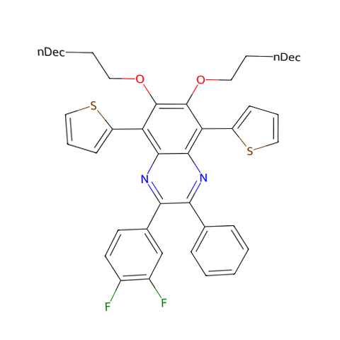 CCCCCCCCCCCCOc1c(OCCCCCCCCCCCC)c(-c2cccs2)c2nc(-c3ccc(F)c(F)c3)c(-c3ccccc3)nc2c1-c1cccs1